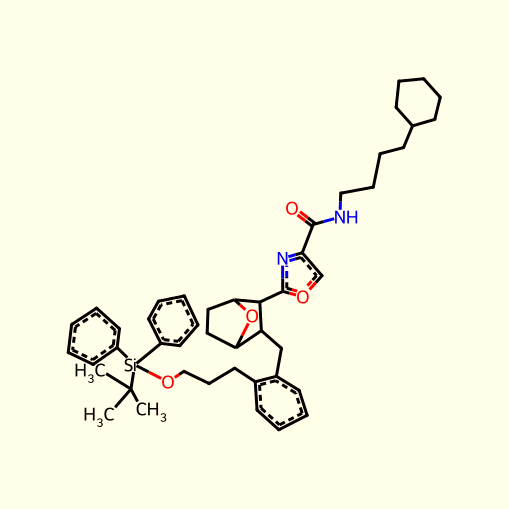 CC(C)(C)[Si](OCCCc1ccccc1CC1C2CCC(O2)C1c1nc(C(=O)NCCCCC2CCCCC2)co1)(c1ccccc1)c1ccccc1